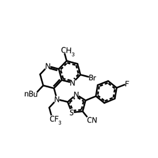 CCCCC1CN=c2c(C)cc(Br)nc2=C1N(CC(F)(F)F)c1nc(-c2ccc(F)cc2)c(C#N)s1